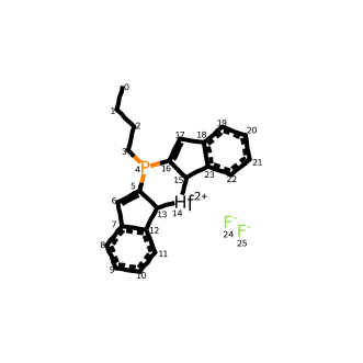 CCCCP1C2=Cc3ccccc3[CH]2[Hf+2][CH]2C1=Cc1ccccc12.[F-].[F-]